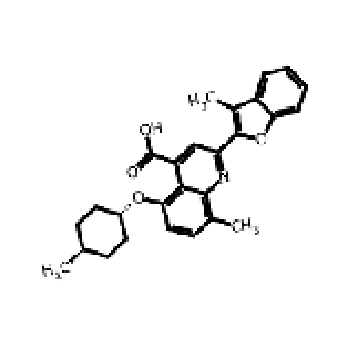 Cc1c(-c2cc(C(=O)O)c3c(O[C@H]4CC[C@H](C)CC4)ccc(C)c3n2)oc2ccccc12